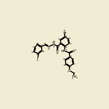 CCOc1ccc(C(=O)Nc2ccc(Br)cc2C(=O)NN=Cc2cccc(F)c2)cc1